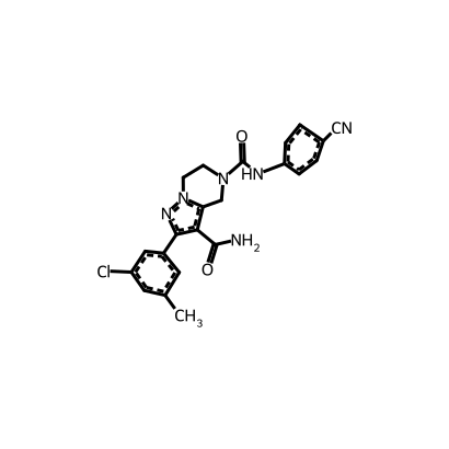 Cc1cc(Cl)cc(-c2nn3c(c2C(N)=O)CN(C(=O)Nc2ccc(C#N)cc2)CC3)c1